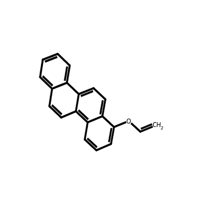 C=COc1cccc2c1ccc1c3ccccc3ccc21